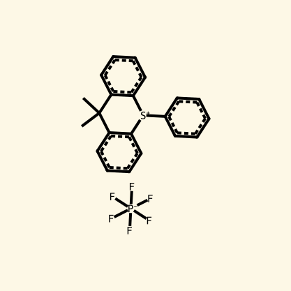 CC1(C)c2ccccc2[S+](c2ccccc2)c2ccccc21.F[P-](F)(F)(F)(F)F